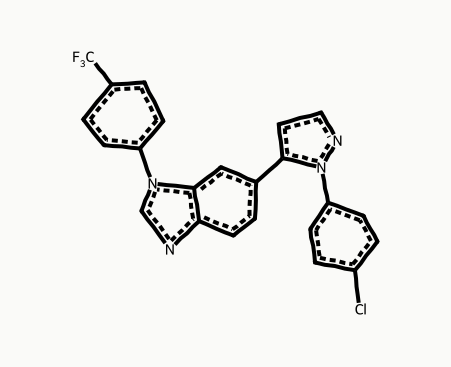 FC(F)(F)c1ccc(-n2cnc3ccc(-c4ccnn4-c4ccc(Cl)cc4)cc32)cc1